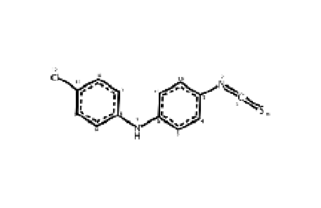 S=C=Nc1ccc(Nc2ccc(Cl)cc2)cc1